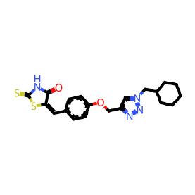 O=C1NC(=S)SC1=Cc1ccc(OCc2cn(CC3CCCCC3)nn2)cc1